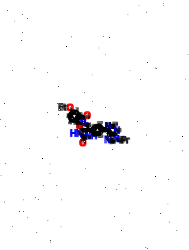 CCOc1ccc2c(c1)C(=O)N(C[C@@]1(c3ccc(-c4ncnc5c4ncn5C(C)C)cc3)NC(=O)NC1=O)C2